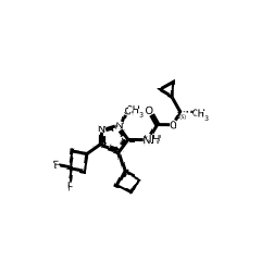 C[C@H](OC(=O)Nc1c(C2CCC2)c(C2CC(F)(F)C2)nn1C)C1CC1